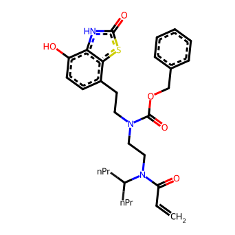 C=CC(=O)N(CCN(CCc1ccc(O)c2[nH]c(=O)sc12)C(=O)OCc1ccccc1)C(CCC)CCC